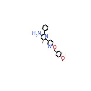 COc1ccc(COc2ccc(-c3nc(-c4ccccc4)c(N)cc3C)cn2)cc1